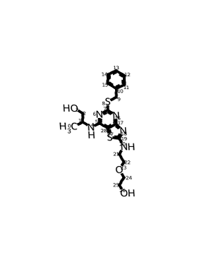 CC(CO)Nc1nc(SCc2ccccc2)nc2nc(NCCOCCO)sc12